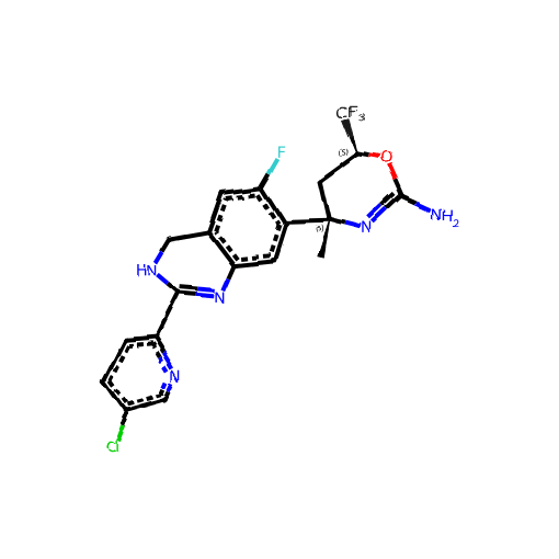 C[C@@]1(c2cc3c(cc2F)CNC(c2ccc(Cl)cn2)=N3)C[C@@H](C(F)(F)F)OC(N)=N1